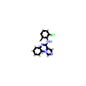 Cc1cccc(Cl)c1Nc1nc2cc[c]cc2n2cncc12